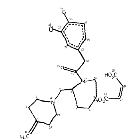 C=C1CCN(CC2CCCCN2C(=O)Cc2ccc(Cl)c(Cl)c2)CC1.O=C(O)/C=C\C(=O)O